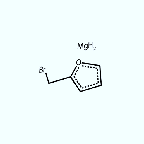 BrCc1ccco1.[MgH2]